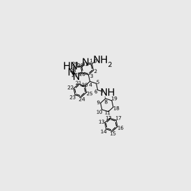 Nc1cc(C(CCN[C@H]2CC[C@@H](c3ccccc3)CC2)c2ccccc2)c2nn[nH]c2n1